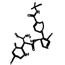 CN1CC(F)CNC1C(C(=O)Nc1cncc(F)c1N1CCC(C(=O)NC(C)(C)C)CC1)C(N)N=O